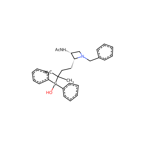 CC(=O)N[C@@H]1CN(Cc2ccccc2)[C@@H]1CCC(C)(C)[Si](O)(c1ccccc1)c1ccccc1